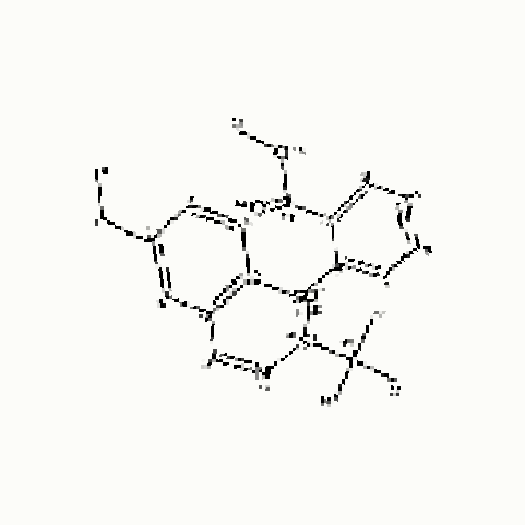 CCc1ccc(Sc2ccccc2C(=O)OC)c(/C=N\[S+]([O-])C(C)(C)C)c1